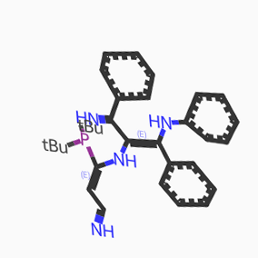 CC(C)(C)P(/C(=C/C=N)N/C(C(=N)c1ccccc1)=C(/Nc1ccccc1)c1ccccc1)C(C)(C)C